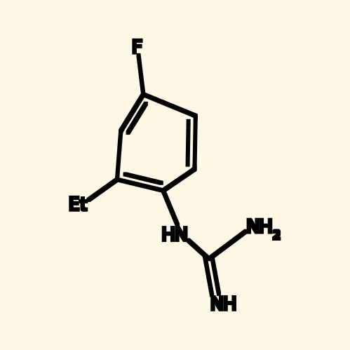 CCc1cc(F)ccc1NC(=N)N